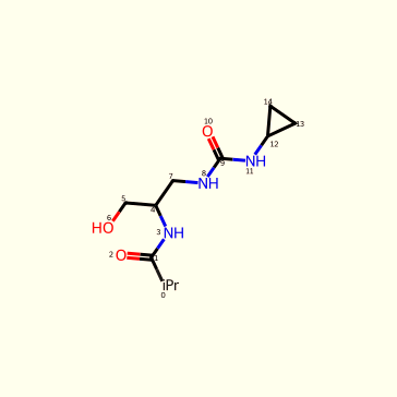 CC(C)C(=O)NC(CO)CNC(=O)NC1CC1